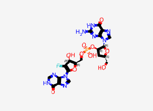 Nc1nc2c(ncn2[C@@H]2O[C@H](CO)C[C@H]2OP(=O)(O)OC[C@H]2OC(n3cnc4c(=O)[nH]cnc43)=C(F)[C@@H]2O)c(=O)[nH]1